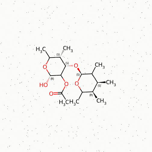 CC(=O)OC1[C@H](O)OC(C)[C@H](C)[C@@H]1O[C@@H]1OC(C)[C@H](C)[C@H](C)C1C